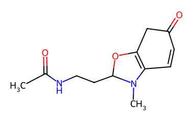 CC(=O)NCCC1OC2=C(C=CC(=O)C2)N1C